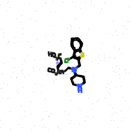 CC(C)CN(Cc1sc2ccccc2c1Cl)C1CCNCC1.O=C(O)/C=C/C(=O)O